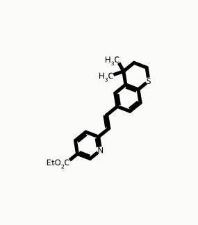 CCOC(=O)c1ccc(/C=C/c2ccc3c(c2)C(C)(C)CCS3)nc1